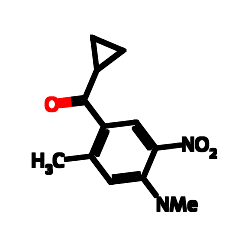 CNc1cc(C)c(C(=O)C2CC2)cc1[N+](=O)[O-]